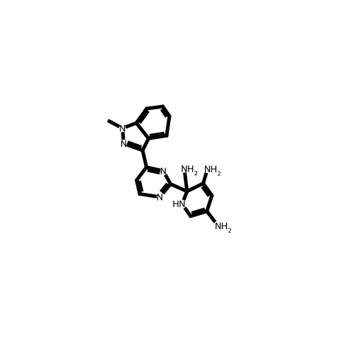 Cn1nc(-c2ccnc(C3(N)NC=C(N)C=C3N)n2)c2ccccc21